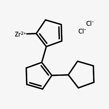 [Cl-].[Cl-].[Zr+2][C]1=C(C2=C(C3CCCC3)C=CC2)C=CC1